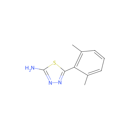 Cc1cccc(C)c1-c1nnc(N)s1